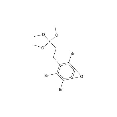 CO[Si](CCc1c(Br)c(Br)c2c(c1Br)O2)(OC)OC